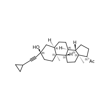 CC(=O)[C@H]1CC[C@H]2[C@@H]3CC[C@@H]4C[C@@](O)(C#CC5CC5)CC[C@]4(C)[C@H]3CC[C@]12C